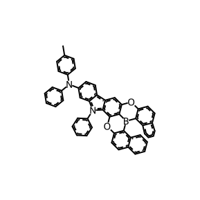 Cc1ccc(N(c2ccccc2)c2ccc3c4cc5c6c(c4n(-c4ccccc4)c3c2)Oc2ccc3ccccc3c2B6c2c(ccc3ccccc23)O5)cc1